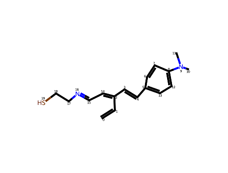 C=CC(/C=C/c1ccc(N(C)C)cc1)=C\C=N\CCS